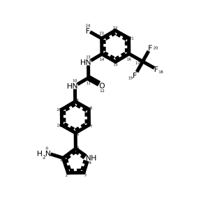 Nc1cc[nH]c1-c1ccc(NC(=O)Nc2cc(C(F)(F)F)ccc2F)cc1